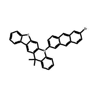 CC1(C)c2ccccc2N(c2ccc3cc4cc(Br)ccc4cc3c2)c2cc3sc4ccccc4c3cc21